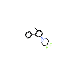 Cc1ccc(N2CCC(F)(F)CC2)cc1-c1ccccc1